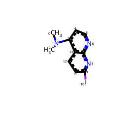 CN(C)c1ccnc2nc(I)ccc12